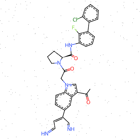 CC(=O)c1cn(CC(=O)N2CCC[C@H]2C(=O)Nc2cccc(-c3ccccc3Cl)c2F)c2ccc(/C(C=N)=C/C=N)cc12